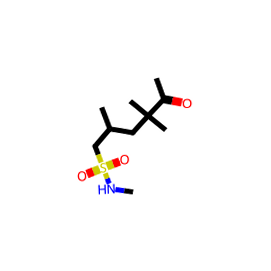 CNS(=O)(=O)CC(C)CC(C)(C)C(C)=O